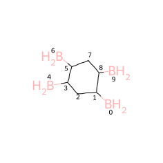 BC1CC(B)C(B)CC1B